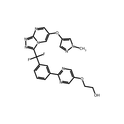 Cn1cc(Oc2cnc3nnc(C(F)(F)c4cccc(-c5ncc(OCCO)cn5)c4)n3c2)cn1